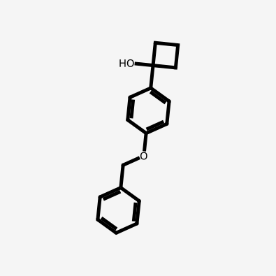 OC1(c2ccc(OCc3ccccc3)cc2)CCC1